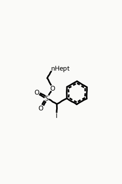 CCCCCCCCOS(=O)(=O)C(I)c1ccccc1